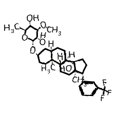 CO[C@H]1[C@H](O)[C@H](O[C@H]2CC[C@@]3(C)[C@H](CC[C@@H]4[C@@H]3CC[C@]3(C)[C@@H](c5cccc(C(F)(F)F)c5)CC[C@]43O)C2)O[C@@H](C)[C@@H]1O